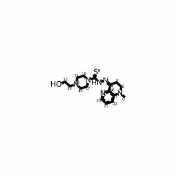 CN1CC/C(=N/NC(=S)N2CCN(CCO)CC2)c2ncccc21